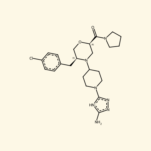 Nc1nnc(N2CCC(N3C[C@H](C(=O)N4CCCC4)OC[C@@H]3Cc3ccc(Cl)cc3)CC2)[nH]1